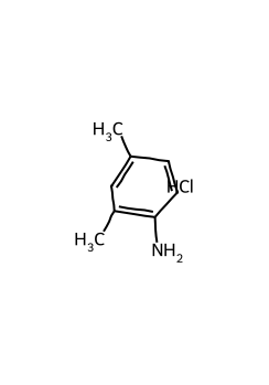 Cc1ccc(N)c(C)c1.Cl